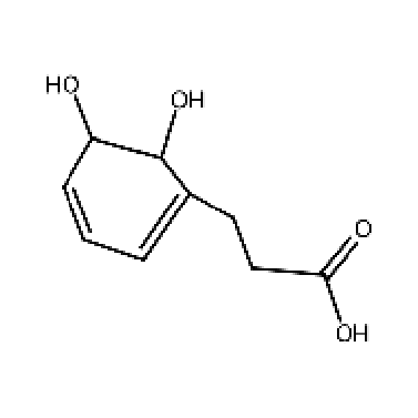 O=C(O)CCC1=CC=CC(O)C1O